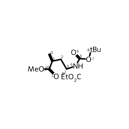 C=C(C[C@H](NC(=O)OC(C)(C)C)C(=O)OCC)C(=O)OC